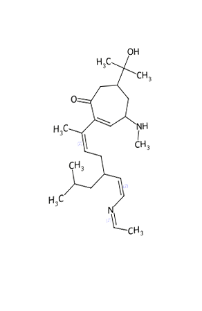 C/C=N\C=C/C(C/C=C(/C)C1=CC(NC)CC(C(C)(C)O)CC1=O)CC(C)C